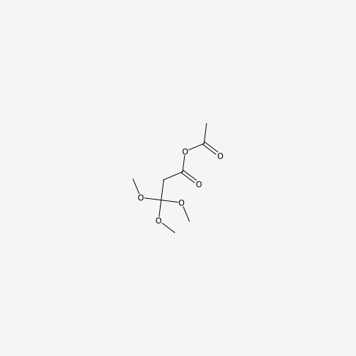 COC(CC(=O)OC(C)=O)(OC)OC